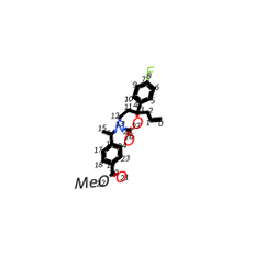 C=CCC1(c2ccc(F)cc2)CCN(C(C)c2ccc(C(=O)OC)cc2)C(=O)O1